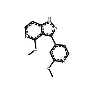 COc1cc(-c2n[nH]c3ccnc(OC)c23)ccn1